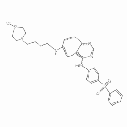 O=S(=O)(c1ccccc1)c1ccc(Nc2ncnc3ccc(NCCCCN4CC[S+]([O-])CC4)cc23)cc1